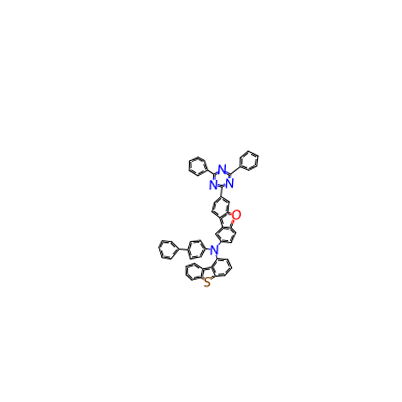 c1ccc(-c2ccc(N(c3ccc4oc5cc(-c6nc(-c7ccccc7)nc(-c7ccccc7)n6)ccc5c4c3)c3cccc4sc5ccccc5c34)cc2)cc1